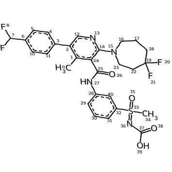 Cc1c(-c2ccc(C(F)F)cc2)cnc(N2CCCC(F)(F)CC2)c1C(=O)Nc1cccc(S(C)(=O)=NC(=O)O)c1